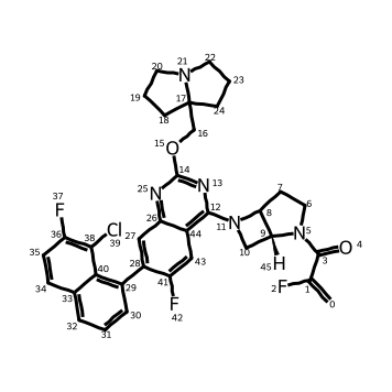 C=C(F)C(=O)N1CCC2[C@H]1CN2c1nc(OCC23CCCN2CCC3)nc2cc(-c3cccc4ccc(F)c(Cl)c34)c(F)cc12